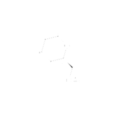 CC(=O)OC[C@H]1CCCCO1